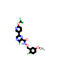 COc1ccc(F)c(CONC(=O)c2nc(-c3ccc(OC(F)F)nc3)cnc2F)c1